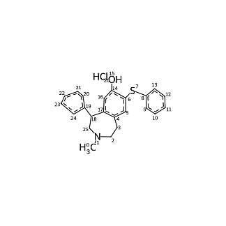 CN1CCc2cc(Sc3ccccc3)c(O)cc2C(c2ccccc2)C1.Cl